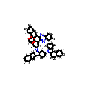 c1ccc2cc3c(cc2c1)c1ccc(-n2c4ccccc4c4c5ccccc5ccc42)cc1n3-c1cc(-c2nc3ccccc3nc2-c2cc3ccccc3c3ccccc23)c2ccccc2c1